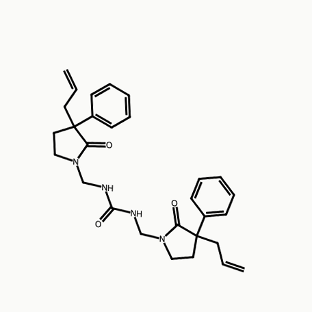 C=CCC1(c2ccccc2)CCN(CNC(=O)NCN2CCC(CC=C)(c3ccccc3)C2=O)C1=O